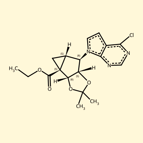 CCOC(=O)[C@@]12C[C@@H]1[C@@H](n1ccc3c(Cl)ncnc31)[C@@H]1OC(C)(C)O[C@@H]12